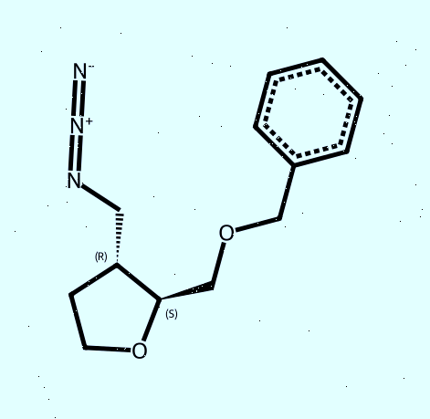 [N-]=[N+]=NC[C@H]1CCO[C@@H]1COCc1ccccc1